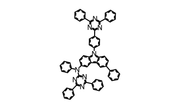 c1ccc(-c2ccc3c(c2)c2cc(N(c4ccccc4)c4nc(-c5ccccc5)nc(-c5ccccc5)n4)ccc2n3-c2ccc(-c3nc(-c4ccccc4)nc(-c4ccccc4)n3)cc2)cc1